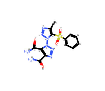 CC(C)c1nnn([N+]2N=NC(C(N)=O)=C2C(N)=O)c1S(=O)(=O)c1ccccc1